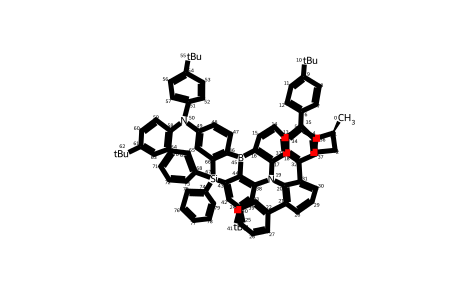 C[C@H]1CCC1N(c1ccc(C(C)(C)C)cc1)c1ccc2c(c1)N(c1c(-c3ccccc3)cccc1-c1ccccc1)c1cc(C(C)(C)C)cc3c1B2c1ccc(N(c2ccc(C(C)(C)C)cc2)c2ccc(C(C)(C)C)cc2)cc1[Si]3(c1ccccc1)c1ccccc1